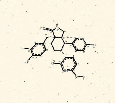 COc1ccc([C@@H]2CC[C@@]3(Cc4ccc(F)c(F)c4)C(=O)NC[C@H]3[C@H]2c2ccc(Cl)cc2)c(Cl)c1